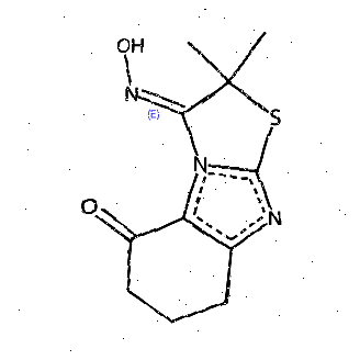 CC1(C)Sc2nc3c(n2/C1=N/O)C(=O)CCC3